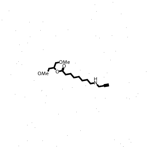 C#CCNCCCCCCCC(=O)OC(COC)COC